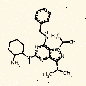 CC(C)c1nn(C(C)C)c2c(NCc3ccccc3)nc(NC3CCCCC3N)nc12